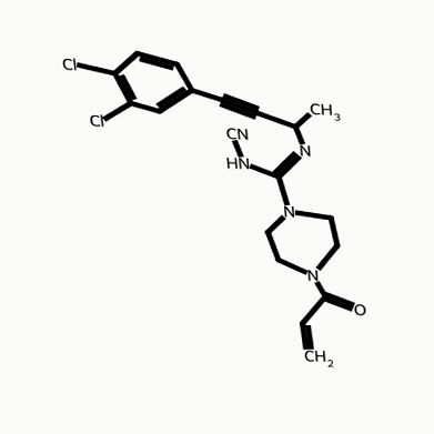 C=CC(=O)N1CCN(/C(=N/C(C)C#Cc2ccc(Cl)c(Cl)c2)NC#N)CC1